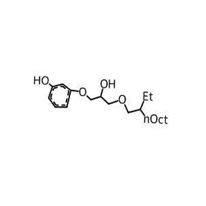 CCCCCCCCC(CC)COCC(O)COc1cccc(O)c1